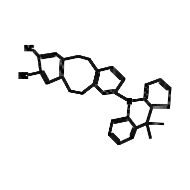 CC1(C)c2ccccc2N(c2ccc3c(c2)CCc2cc(C#N)c(C#N)cc2CC3)c2ccccc21